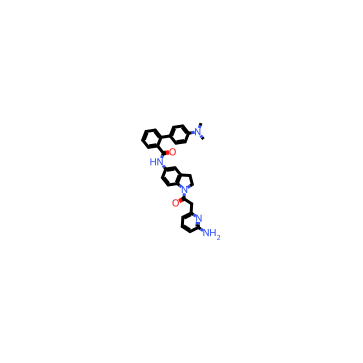 CN(C)c1ccc(-c2ccccc2C(=O)Nc2ccc3c(c2)CCN3C(=O)Cc2cccc(N)n2)cc1